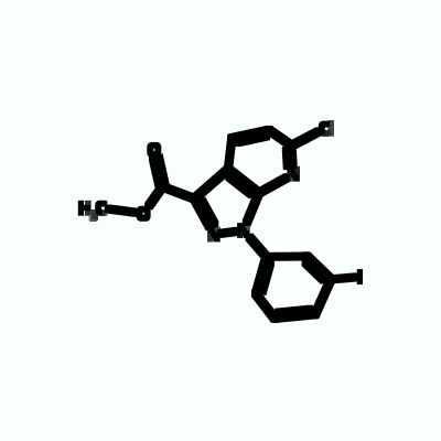 COC(=O)c1nn(-c2cccc(I)c2)c2nc(Cl)ccc12